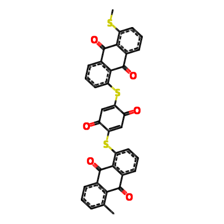 CSc1cccc2c1C(=O)c1cccc(SC3=CC(=O)C(Sc4cccc5c4C(=O)c4cccc(C)c4C5=O)=CC3=O)c1C2=O